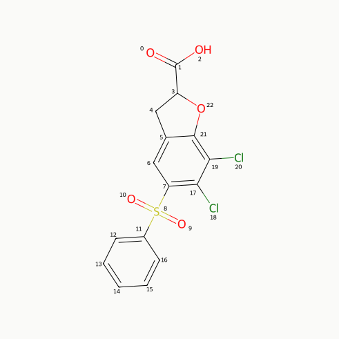 O=C(O)C1Cc2cc(S(=O)(=O)c3ccccc3)c(Cl)c(Cl)c2O1